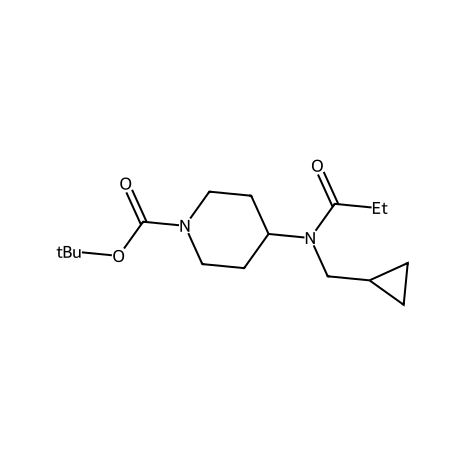 CCC(=O)N(CC1CC1)C1CCN(C(=O)OC(C)(C)C)CC1